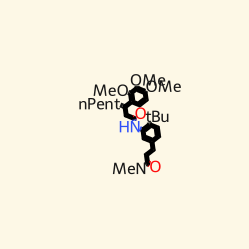 CCCCCC(CC(=O)Nc1cc(CCC(=O)NC)ccc1C(C)(C)C)c1ccc(OC)c(OC)c1OC